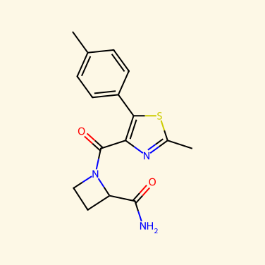 Cc1ccc(-c2sc(C)nc2C(=O)N2CCC2C(N)=O)cc1